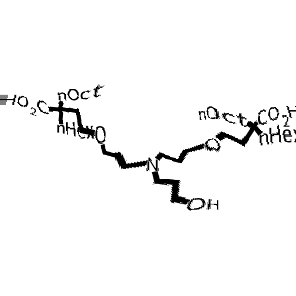 CCCCCCCCC(CCCCCC)(CCOCCCN(CCCO)CCCOCCC(CCCCCC)(CCCCCCCC)C(=O)O)C(=O)O